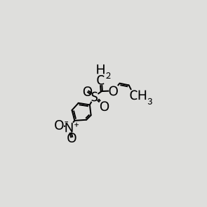 C=C(O/C=C\C)S(=O)(=O)c1ccc([N+](=O)[O-])cc1